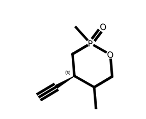 C#C[C@H]1CP(C)(=O)OCC1C